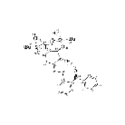 C=C1/C(=C\Cc2ccccc2[PH](=O)c2ccccc2)C[C@H](O[Si](C)(C)C(C)(C)C)C[C@H]1O[Si](C)(C)C(C)(C)C